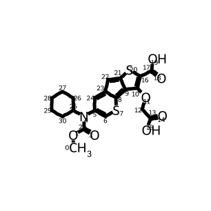 COC(=O)N(c1csc2c3c(OCC(=O)O)c(C(=O)O)sc3cc-2c1)C1CCCCC1